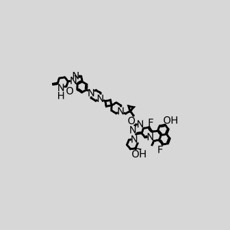 C=C1CCC(n2ncc3cc(N4CCN(C5CC6(CCN(CC7(COc8nc(N9CCC[C@@](C)(O)C9)c9cnc(-c%10cc(O)cc%11ccc(F)c(CC)c%10%11)c(F)c9n8)CC7)CC6)C5)CC4)ccc32)C(=O)N1